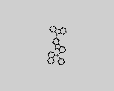 c1ccc(N(c2cccc3ccccc23)c2cccc3c2sc2ccc(-n4c5ccccc5c5ccccc54)cc23)cc1